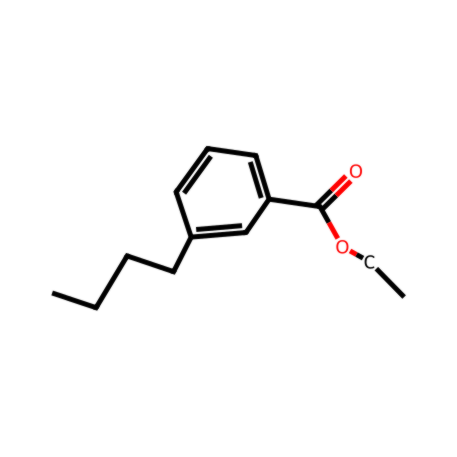 CCCCc1cccc(C(=O)OCC)c1